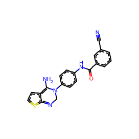 N#Cc1cccc(C(=O)Nc2ccc(N3CN=c4sccc4=C3N)cc2)c1